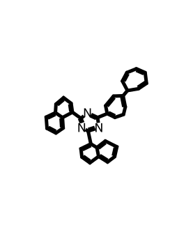 C1=CC=CC(C2=CCC=C(c3nc(-c4cccc5ccccc45)nc(-c4cccc5ccccc45)n3)C=C2)C=C1